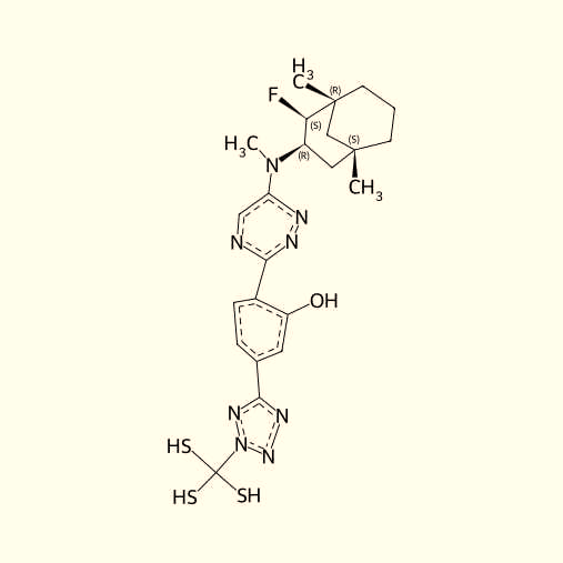 CN(c1cnc(-c2ccc(-c3nnn(C(S)(S)S)n3)cc2O)nn1)[C@@H]1C[C@@]2(C)CCC[C@](C)(C2)[C@@H]1F